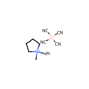 CCC[N+]1(C)CCCC1.N#C[B-](C#N)(C#N)C#N